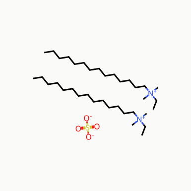 CCCCCCCCCCCCCC[N+](C)(C)CC.CCCCCCCCCCCCCC[N+](C)(C)CC.O=S(=O)([O-])[O-]